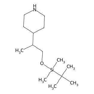 CC(CO[Si](C)(C)C(C)(C)C)C1CCNCC1